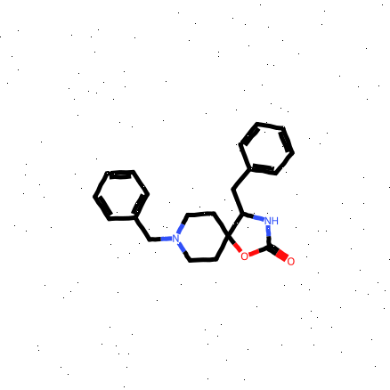 O=C1NC(Cc2ccccc2)C2(CCN(Cc3ccccc3)CC2)O1